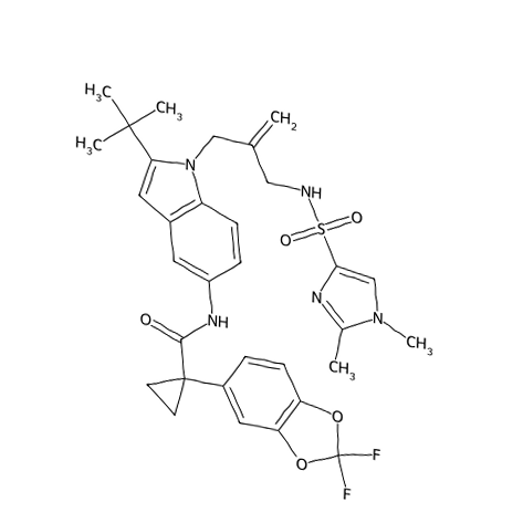 C=C(CNS(=O)(=O)c1cn(C)c(C)n1)Cn1c(C(C)(C)C)cc2cc(NC(=O)C3(c4ccc5c(c4)OC(F)(F)O5)CC3)ccc21